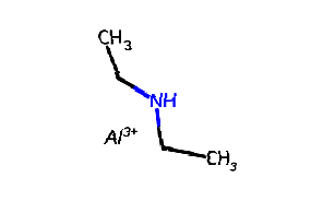 CCNCC.[Al+3]